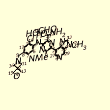 CNc1nc(Nc2ccc(CN3CC4(COC4)C3)cc2Cl)c(C(N)=O)nc1-c1cncc2c1ncn2C.O=CO